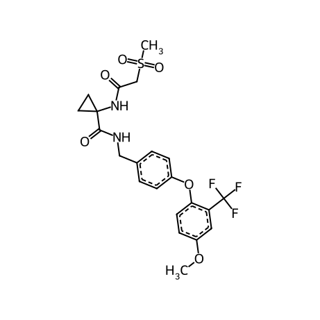 COc1ccc(Oc2ccc(CNC(=O)C3(NC(=O)CS(C)(=O)=O)CC3)cc2)c(C(F)(F)F)c1